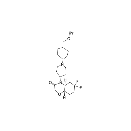 CC(C)OCC1CCC(N2CCC(N3C(=O)CO[C@H]4CCC(F)(F)C[C@@H]43)CC2)CC1